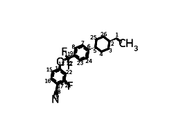 CC[C@H]1CC[C@H](c2ccc(C(F)(F)Oc3ccc(C#N)c(F)c3)cc2)CC1